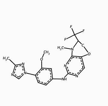 COc1cc(Nc2ncc3c(n2)N(C)C(C(F)(F)F)CO3)ccc1-n1cnc(C)n1